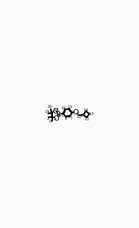 CC1(C)OB(c2ccc(OCC3CCC3)cc2)OC1(C)C